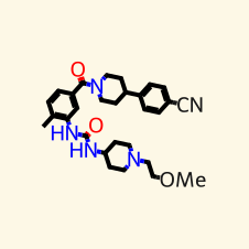 COCCN1CCC(NC(=O)Nc2cc(C(=O)N3CCC(c4ccc(C#N)cc4)CC3)ccc2C)CC1